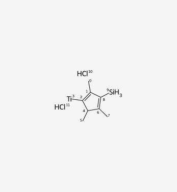 CC1=[C]([Ti])C(C)C(C)=C1[SiH3].Cl.Cl